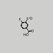 O=[S+]c1cc(C(=O)O)ccc1F